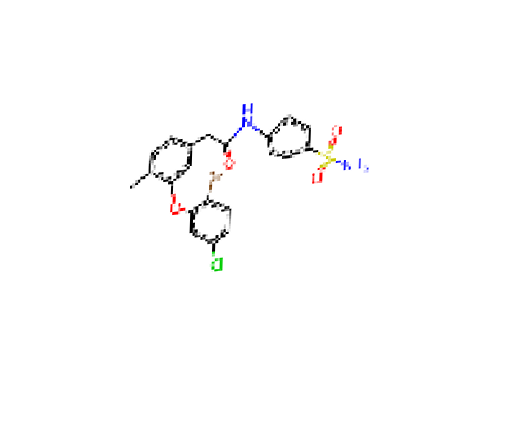 Cc1ccc(CC(=O)Nc2ccc(S(N)(=O)=O)cc2)cc1Oc1cc(Cl)ccc1Br